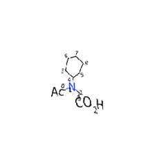 CC(=O)N(CC(=O)O)C1CCCCC1